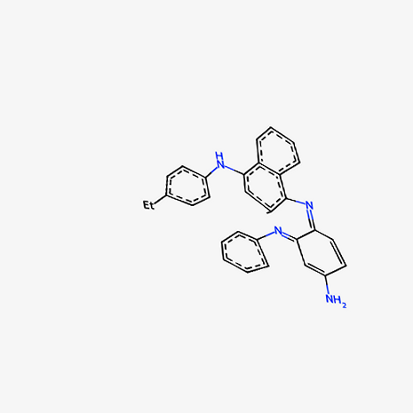 CCc1ccc(Nc2cc(C)c(/N=C3/C=CC(N)=C/C3=N\c3ccccc3)c3ccccc23)cc1